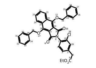 CCOC(=O)Cc1ccc(N2C(=O)c3c(c(OCc4ccccc4)c4ccccc4c3OCc3ccccc3)C2=O)c(Cl)c1